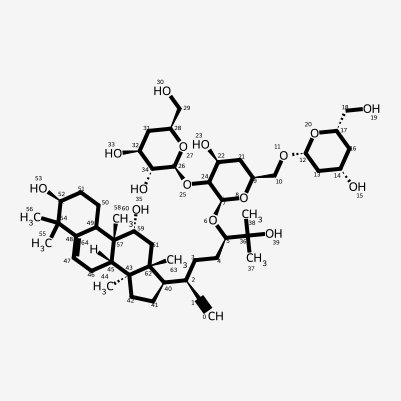 C#C[C@H](CC[C@@H](O[C@@H]1O[C@H](CO[C@H]2C[C@@H](O)C[C@@H](CO)O2)C[C@H](O)C1O[C@@H]1O[C@H](CO)C[C@H](O)[C@H]1O)C(C)(C)O)[C@H]1CC[C@@]2(C)[C@@H]3CC=C4C(CC[C@H](O)C4(C)C)[C@]3(C)[C@H](O)C[C@]12C